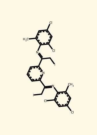 Cc1cc(Cl)cc(Cl)c1N=C(CI)c1cccc(C(CI)=Nc2c(C)cc(Cl)cc2Cl)n1